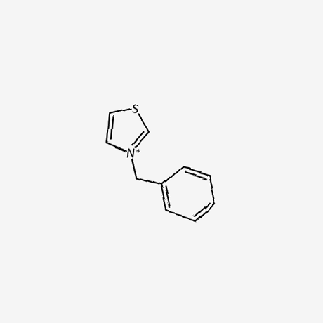 c1ccc(C[n+]2ccsc2)cc1